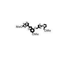 COCC1CCCN1c1nc(COc2cc(OC)cc3oc(-c4cnc5sc(OC)nn45)cc23)cs1